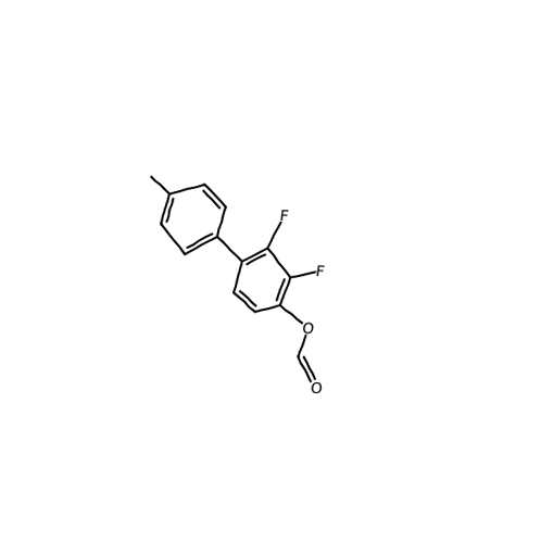 Cc1ccc(-c2ccc(OC=O)c(F)c2F)cc1